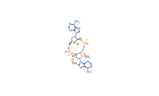 CC[C@@]12CO[P@@](=O)(S)O[C@@H]3[C@@H](F)[C@@H](COP(=O)(S)O[C@H]1[C@@H](OC)[C@H](n1cnc4c(N)ncnc41)O2)O[C@H]3n1cnc2c(N)ncnc21